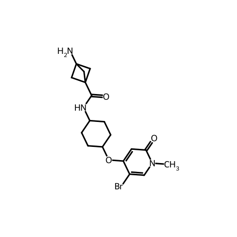 Cn1cc(Br)c(OC2CCC(NC(=O)C34CC(N)(C3)C4)CC2)cc1=O